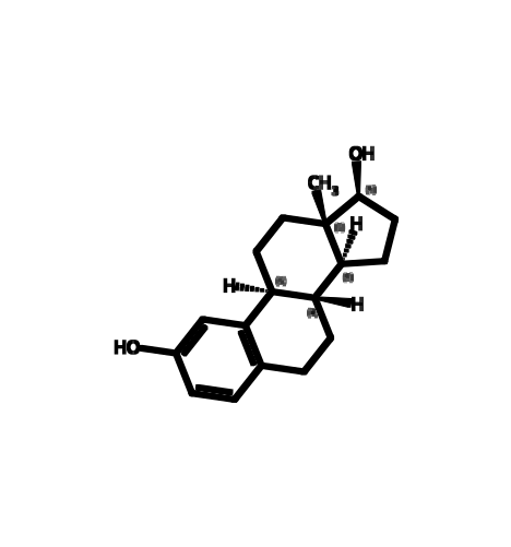 C[C@]12CC[C@@H]3c4cc(O)ccc4CC[C@H]3[C@@H]1CC[C@@H]2O